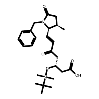 C[C@@H]1CC(=O)N(Cc2ccccc2)[C@@H]1/C=C/C(=O)C[C@H](CC(=O)O)O[Si](C)(C)C(C)(C)C